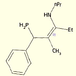 CCCN/C(CC)=C(/C)C(P)c1ccccc1